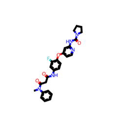 CN(C(=O)CC(=O)Nc1ccc(Oc2ccnc(NC(=O)N3CCCC3)c2)c(F)c1)c1ccccc1